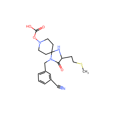 CSCCC1NC2(CCN(OC(=O)O)CC2)N(Cc2cccc(C#N)c2)C1=O